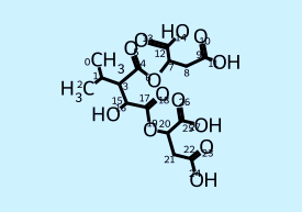 CC(C)C(C(=O)OC(CC(=O)O)C(=O)O)C(O)C(=O)OC(CC(=O)O)C(=O)O